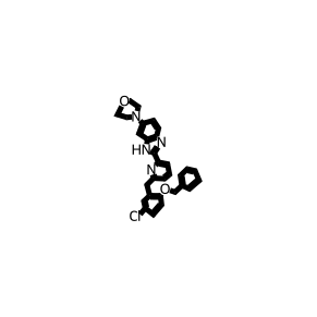 Clc1ccc(OCc2ccccc2)c(Cc2cccc(-c3nc4ccc(N5CCOCC5)cc4[nH]3)n2)c1